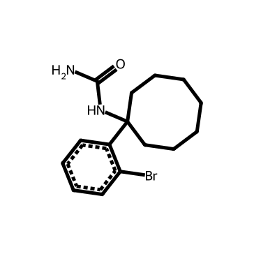 NC(=O)NC1(c2ccccc2Br)CCCCCCC1